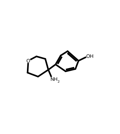 NC1(c2ccc(O)cc2)CCOCC1